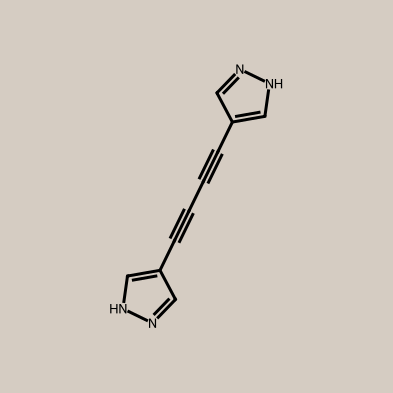 C(C#Cc1cn[nH]c1)#Cc1cn[nH]c1